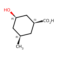 C[C@H]1C[C@@H](O)C[C@@H](C(=O)O)C1